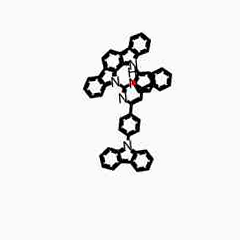 C1=C(c2ccc(-n3c4ccccc4c4ccccc43)cc2)N=C(n2c3ccccc3c3ccc4c5ccccc5n(-c5ccccc5)c4c32)NC1c1ccccc1